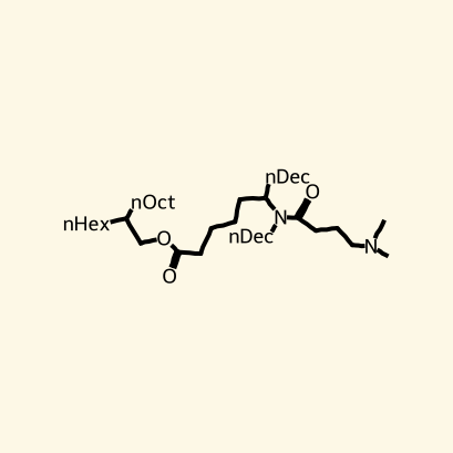 CCCCCCCCCCC(CCCCC(=O)OCC(CCCCCC)CCCCCCCC)N(CCCCCCCCCC)C(=O)CCCN(C)C